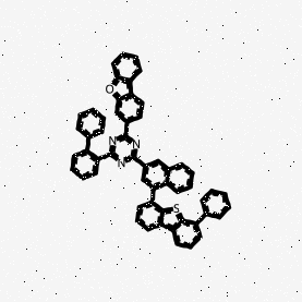 c1ccc(-c2ccccc2-c2nc(-c3cc(-c4cccc5c4sc4c(-c6ccccc6)cccc45)c4ccccc4c3)nc(-c3ccc4c(c3)oc3ccccc34)n2)cc1